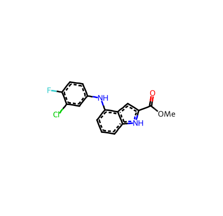 COC(=O)c1cc2c(Nc3ccc(F)c(Cl)c3)cccc2[nH]1